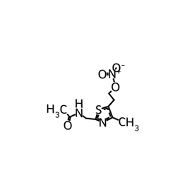 CC(=O)NCc1nc(C)c(CCO[N+](=O)[O-])s1